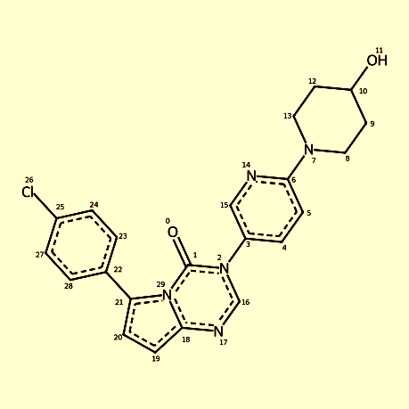 O=c1n(-c2ccc(N3CCC(O)CC3)nc2)cnc2ccc(-c3ccc(Cl)cc3)n12